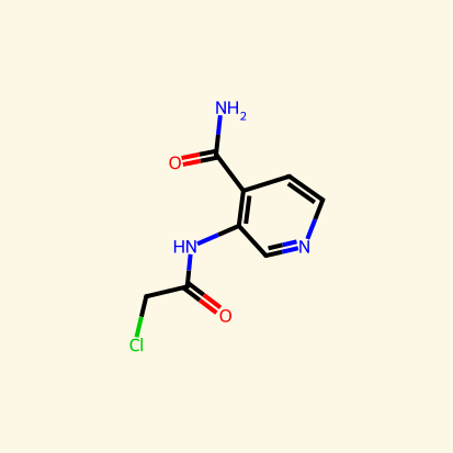 NC(=O)c1ccncc1NC(=O)CCl